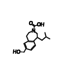 CC(C)CC1CN(C(=O)O)CCc2cc(CO)ccc21